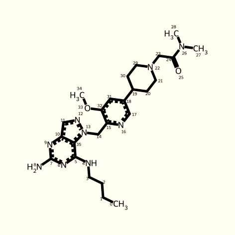 CCCCNc1nc(N)nc2cnn(Cc3ncc(C4CCN(CC(=O)N(C)C)CC4)cc3OC)c12